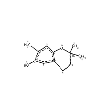 Cc1cc2c(cc1O)CCC(C)(C)O2